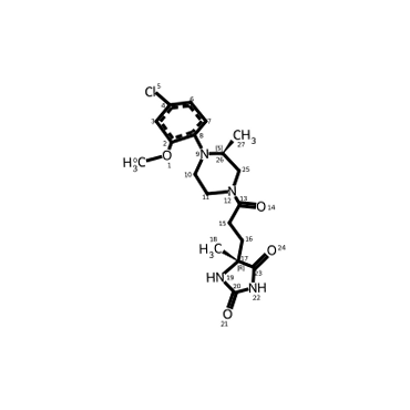 COc1cc(Cl)ccc1N1CCN(C(=O)CC[C@@]2(C)NC(=O)NC2=O)C[C@@H]1C